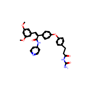 COc1cc(C=C(C(=O)Nc2ccncc2)c2ccc(Oc3ccc(CCC(=O)NC(N)=O)cc3)cc2)cc(OC)c1